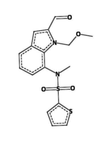 COCn1c(C=O)cc2cccc(N(C)S(=O)(=O)c3cccs3)c21